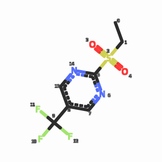 CCS(=O)(=O)c1ncc(C(F)(F)F)cn1